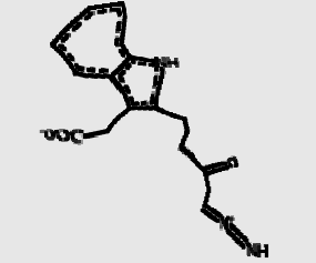 N=[N+]=CC(=O)CCc1[nH]c2ccccc2c1CC(=O)[O-]